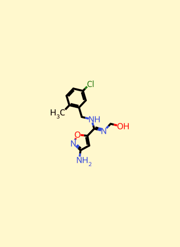 Cc1ccc(Cl)cc1CN/C(=N\CO)c1cc(N)no1